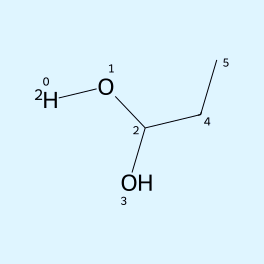 [2H]OC(O)CC